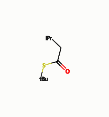 CC(C)CC(=O)SC(C)(C)C